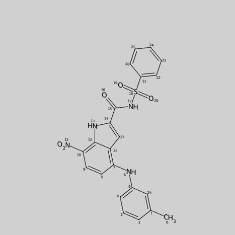 Cc1cccc(Nc2ccc([N+](=O)[O-])c3[nH]c(C(=O)NS(=O)(=O)c4ccccc4)cc23)c1